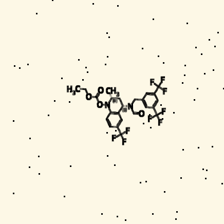 CCOC(=O)ON1c2ccc(C(F)(F)F)cc2[C@@H](N(C=O)Cc2cc(C(F)(F)F)cc(C(F)(F)F)c2)C[C@H]1C